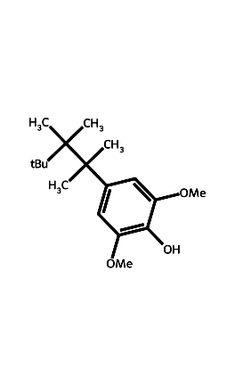 COc1cc(C(C)(C)C(C)(C)C(C)(C)C)cc(OC)c1O